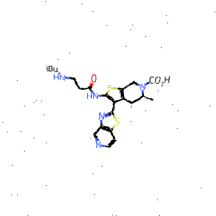 CC[C@H](C)NCCC(=O)Nc1sc2c(c1-c1nc3cnccc3s1)C[C@H](C)N(C(=O)O)C2